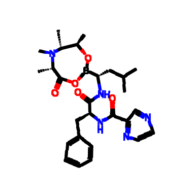 CC(C)C[C@H](NC(=O)[C@H](Cc1ccccc1)NC(=O)c1cnccn1)B1OC(=O)[C@H](C)N(C)[C@H](C)[C@@H](C)O1